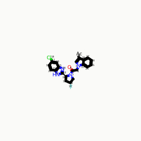 CC(=O)c1cn(CC(=O)N2C[C@H](F)C[C@H]2c2nc3cc(Cl)ccc3[nH]2)c2ccccc12